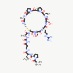 CC[C@H](C)[C@H](NC(=O)NC(=O)CCNC(=O)[C@H](CC(=O)O)NC(=O)[C@@H]1CCCN1C(=O)[C@@H](NC(C)=O)[C@@H](C)CC)C(=O)N[C@H]1SSCNC(=O)[C@H]([C@@H](C)CC)NC(=O)[C@@H]2CCCN2C2OC2[C@@H]2CCCN2C(=O)[C@H](CC(C)C)NC(=O)[C@H](CO)NC(=O)[C@H](CCCNC(=N)N)NC(=O)[C@H](CO)NC1=O